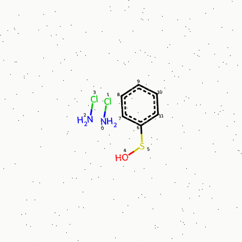 NCl.NCl.OSc1ccccc1